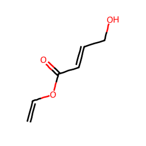 C=COC(=O)C=CCO